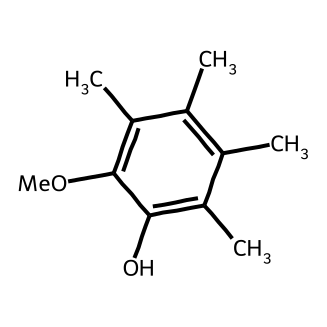 COc1c(C)c(C)c(C)c(C)c1O